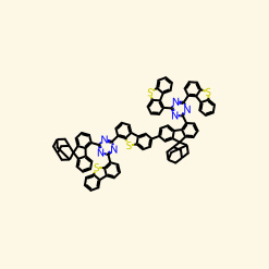 c1ccc2c(c1)-c1c(-c3nc(-c4cccc5c4sc4ccccc45)nc(-c4cccc5c4sc4ccc(-c6ccc7c(c6)C6(c8cccc(-c9nc(-c%10cccc%11sc%12ccccc%12c%10%11)nc(-c%10cccc%11sc%12ccccc%12c%10%11)n9)c8-7)C7CC8CC(C7)CC6C8)cc45)n3)cccc1C21C2CC3CC(C2)CC1C3